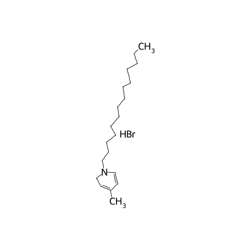 Br.CCCCCCCCCCCCCCN1C=CC(C)=CC1